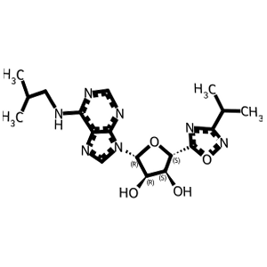 CC(C)CNc1ncnc2c1ncn2[C@@H]1O[C@H](c2nc(C(C)C)no2)[C@@H](O)[C@H]1O